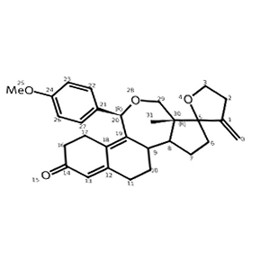 C=C1CCOC12CCC1C3CCC4=CC(=O)CCC4=C3[C@@H](c3ccc(OC)cc3)OC[C@@]12C